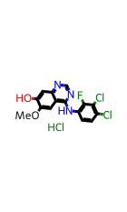 COc1cc2c(Nc3ccc(Cl)c(Cl)c3F)ncnc2cc1O.Cl